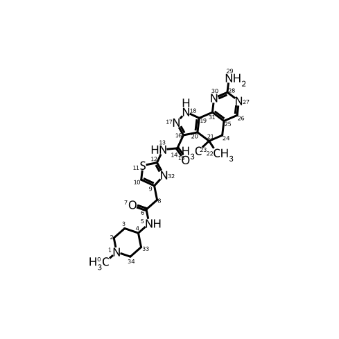 CN1CCC(NC(=O)Cc2csc(NC(=O)c3n[nH]c4c3C(C)(C)Cc3cnc(N)nc3-4)n2)CC1